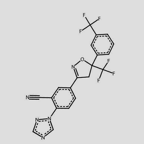 N#Cc1cc(C2=NOC(c3cccc(C(F)(F)F)c3)(C(F)(F)F)C2)ccc1-n1cncn1